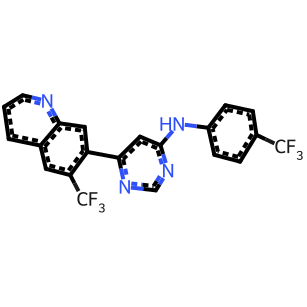 FC(F)(F)c1ccc(Nc2cc(-c3cc4ncccc4cc3C(F)(F)F)ncn2)cc1